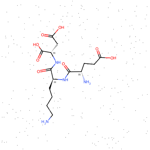 NCCCC[C@H](NC(=O)[C@@H](N)CCC(=O)O)C(=O)N[C@@H](CC(=O)O)C(=O)O